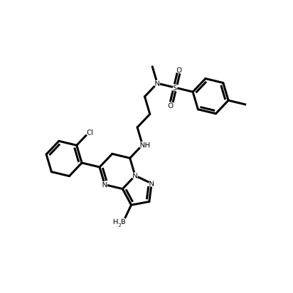 Bc1cnn2c1N=C(C1=C(Cl)C=CCC1)CC2NCCCN(C)S(=O)(=O)c1ccc(C)cc1